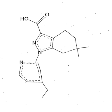 CCc1ccnc(-n2nc(C(=O)O)c3c2CC(C)(C)CC3)c1